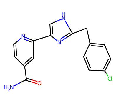 NC(=O)c1ccnc(-c2c[nH]c(Cc3ccc(Cl)cc3)n2)c1